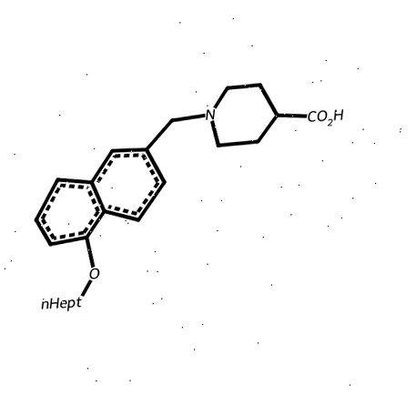 CCCCCCCOc1cccc2cc(CN3CCC(C(=O)O)CC3)ccc12